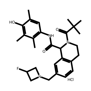 Cc1cc(NC(=O)C2c3cc(CN4CC(F)C4)ccc3CCN2C(=O)C(C)(C)C)c(C)c(C)c1O.Cl